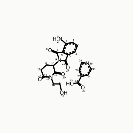 Nc1cccc2c1C(=O)N(C1CCC(=O)N(CCO)C1=O)C2=O.O=C(O)c1ccncc1